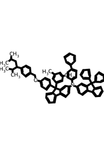 Cc1cc(C)cc(C2(c3ccc(OCc4ccc(C(CC(C)C)C(C)C)cc4)cc3)c3ccccc3-c3ccc(N(c4ccc(-c5ccccc5)cc4)c4ccc5c(c4)C(c4ccccc4)(c4ccccc4)c4ccccc4-5)cc32)c1